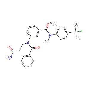 Cc1cc(C(F)(C(F)(F)F)C(F)(F)F)ccc1N(C)C(=O)c1cccc(N(CCC(N)=O)C(=O)c2ccccc2)c1